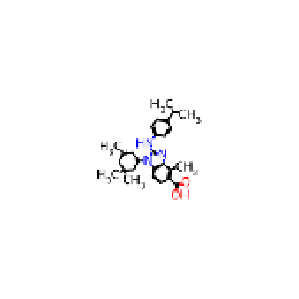 Cc1c(C(=O)O)ccc2c1nc(Nc1ccc(C(C)C)cc1)n2[C@H]1C[C@@H](C)CC(C)(C)C1